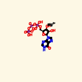 O=c1[nH]cnc2c1ncn2[C@@H]1O[C@H](COP(=O)(O)OP(=O)([O-])OP(=O)([O-])O)[C@@H](O)[C@H]1O.[Mg+2]